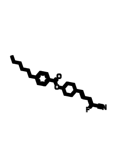 CCCCCCc1ccc(C(=O)OC2CCC(C=CC=C(F)C#N)CC2)cc1